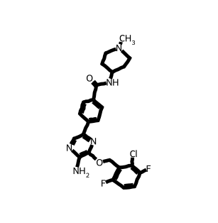 CN1CCC(NC(=O)c2ccc(-c3cnc(N)c(OCc4c(F)ccc(F)c4Cl)n3)cc2)CC1